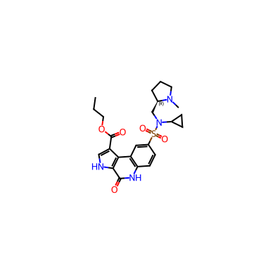 CCCOC(=O)c1c[nH]c2c(=O)[nH]c3ccc(S(=O)(=O)N(C[C@H]4CCCN4C)C4CC4)cc3c12